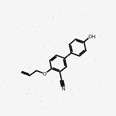 C=CCOc1ccc(-c2ccc(O)cc2)cc1C#N